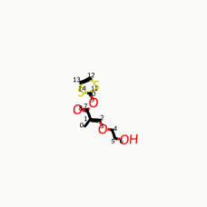 CC(=COCCO)C(=O)OC1SC=CS1